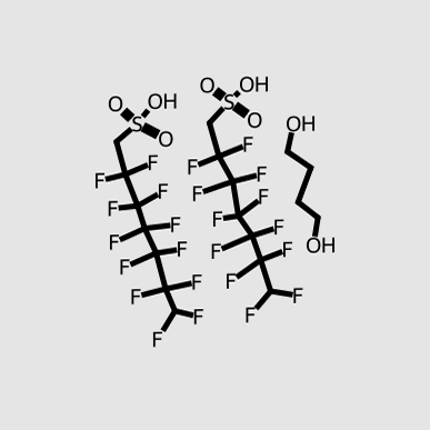 O=S(=O)(O)CC(F)(F)C(F)(F)C(F)(F)C(F)(F)C(F)(F)C(F)F.O=S(=O)(O)CC(F)(F)C(F)(F)C(F)(F)C(F)(F)C(F)(F)C(F)F.OCCCCO